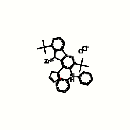 CC(C)(C)c1cccc2c1[CH]([Zr+2])c1c-2cc(C(C)(C)C)c([SiH](c2ccccc2)c2ccccc2)c1C1=CC=CC1.[Cl-].[Cl-]